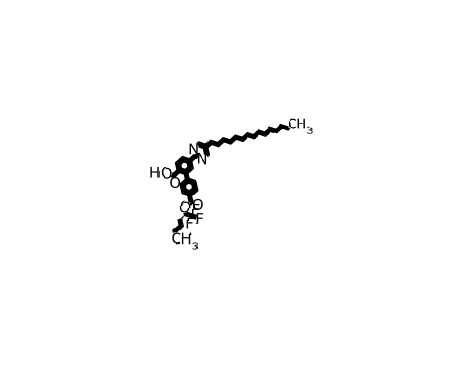 CCCCCCCCCCCCCCCc1cnc(-c2ccc(C(=O)O)c(-c3ccc(C(=O)O[C@@H](CCCC)C(F)(F)F)cc3)c2)nc1